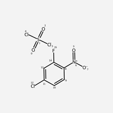 O=S(=O)(Cl)Cl.O=[N+]([O-])c1ccc(Cl)cc1F